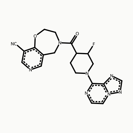 N#Cc1cncc2c1OCCN(C(=O)C1CCN(c3nccn4ncnc34)CC1F)C2